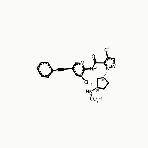 Cc1cc(C#Cc2ccccc2)cnc1NC(=O)c1c(Cl)cnn1[C@@H]1CC[C@@H](NC(=O)O)C1